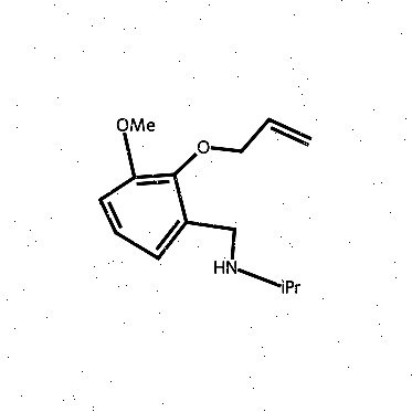 C=CCOc1c(CNC(C)C)cccc1OC